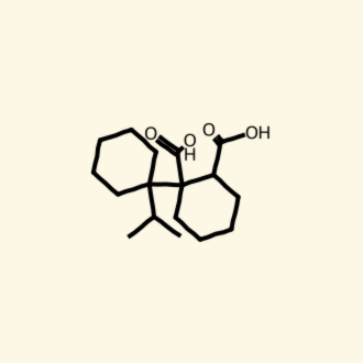 CC(C)C1(C2(C(=O)O)CCCCC2C(=O)O)CCCCC1